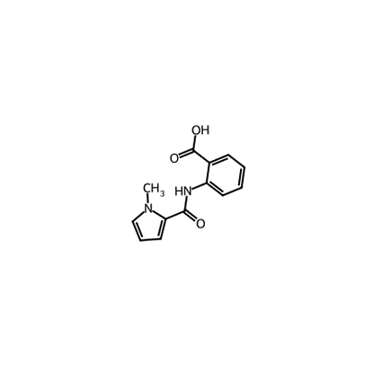 Cn1cccc1C(=O)Nc1ccccc1C(=O)O